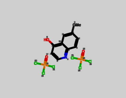 COc1ccc2nccc(O)c2c1.O=P(Cl)(Cl)Cl.O=P(Cl)(Cl)Cl